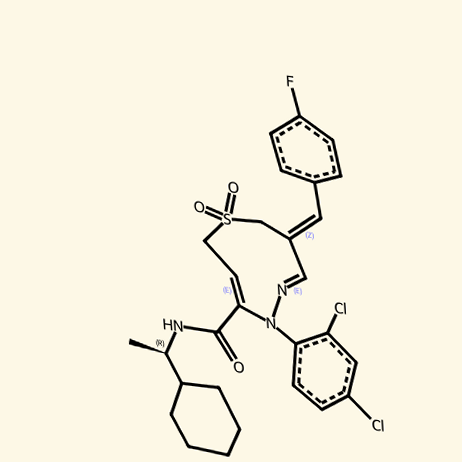 C[C@@H](NC(=O)/C1=C\CS(=O)(=O)CC(=C\c2ccc(F)cc2)/C=N/N1c1ccc(Cl)cc1Cl)C1CCCCC1